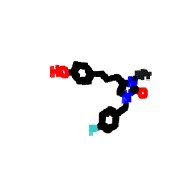 CCCn1c(CCCc2ccc(O)cc2)cn(Cc2ccc(F)cc2)c1=O